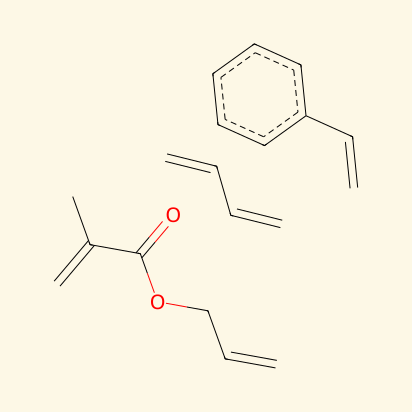 C=CC=C.C=CCOC(=O)C(=C)C.C=Cc1ccccc1